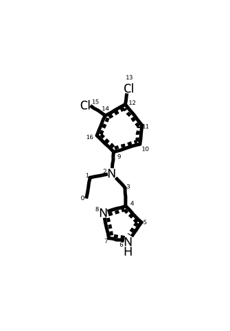 CCN(Cc1c[nH]cn1)c1ccc(Cl)c(Cl)c1